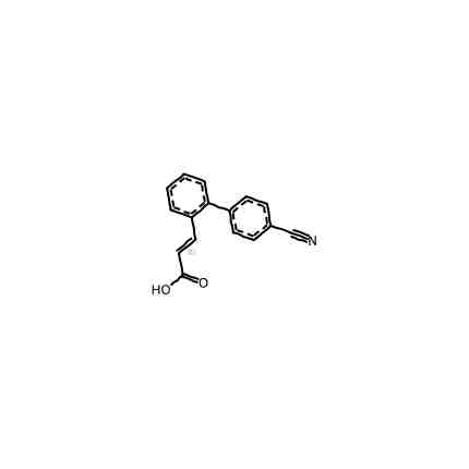 N#Cc1ccc(-c2ccccc2/C=C/C(=O)O)cc1